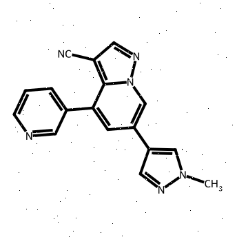 Cn1cc(-c2cc(-c3cccnc3)c3c(C#N)cnn3c2)cn1